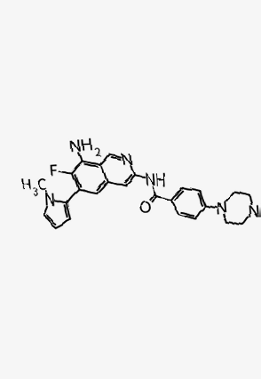 Cn1cccc1-c1cc2cc(NC(=O)c3ccc(N4CCNCC4)cc3)ncc2c(N)c1F